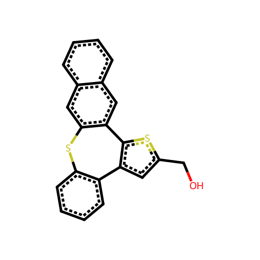 OCc1cc2c(s1)-c1cc3ccccc3cc1Sc1ccccc1-2